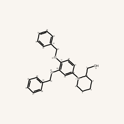 OCC1CCCCN1c1ccc(OCc2ccccc2)c(OCc2ccccc2)c1